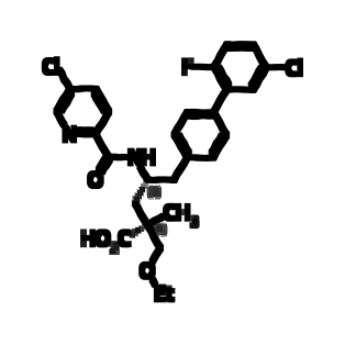 CCOC[C@](C)(C[C@@H](Cc1ccc(-c2cc(Cl)ccc2F)cc1)NC(=O)c1ccc(Cl)cn1)C(=O)O